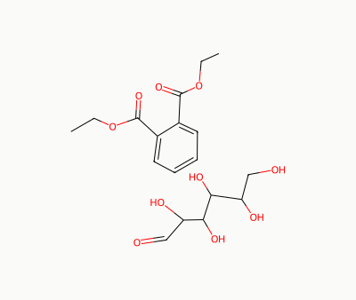 CCOC(=O)c1ccccc1C(=O)OCC.O=CC(O)C(O)C(O)C(O)CO